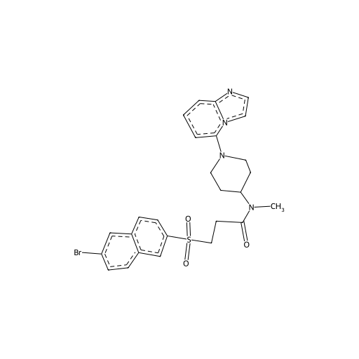 CN(C(=O)CCS(=O)(=O)c1ccc2cc(Br)ccc2c1)C1CCN(c2cccc3nccn23)CC1